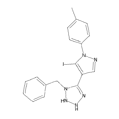 Cc1ccc(-n2ncc(C3=NNNN3Cc3ccccc3)c2I)cc1